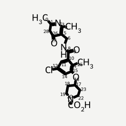 CC1=NC(C)=C(CNC(=O)c2cc(Cl)cc(OC3CCN(C(=O)O)CC3)c2C)C(=O)C1